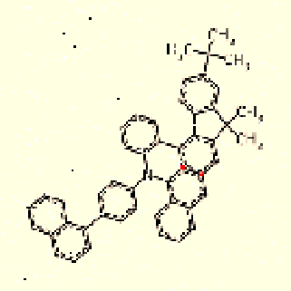 CC(C)(C)c1ccc2c(c1)C(C)(C)c1cccc(-c3ccccc3N(c3ccc(-c4cccc5ccccc45)cc3)c3cccc4ccccc34)c1-2